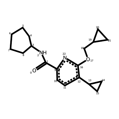 O=C(NC1CCCCC1)c1ccc(C2CC2)c(OCC2CC2)n1